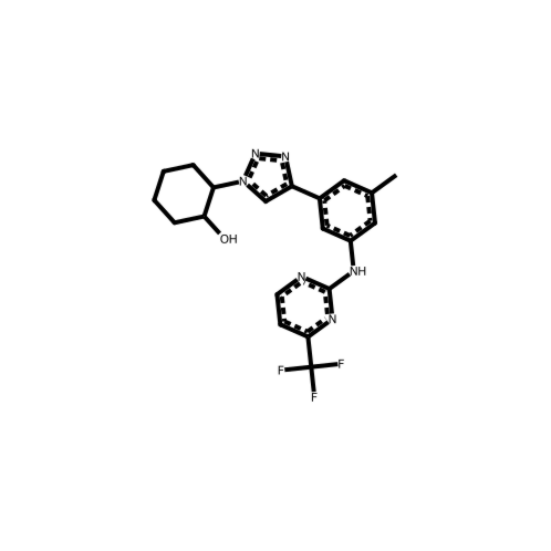 Cc1cc(Nc2nccc(C(F)(F)F)n2)cc(-c2cn(C3CCCCC3O)nn2)c1